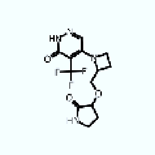 O=C1NCCC1OCC1CCN1c1cn[nH]c(=O)c1C(F)(F)F